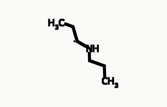 CC[CH]NCCC